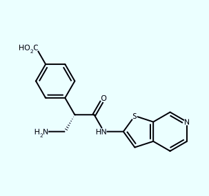 NC[C@@H](C(=O)Nc1cc2ccncc2s1)c1ccc(C(=O)O)cc1